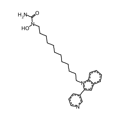 NC(=O)N(O)CCCCCCCCCCCCn1c(-c2cccnc2)cc2ccccc21